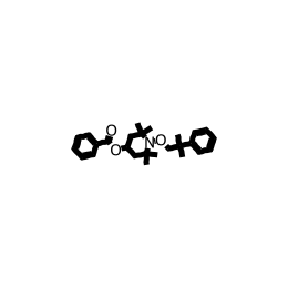 CC(C)(CON1C(C)(C)CC(OC(=O)c2ccccc2)CC1(C)C)c1ccccc1